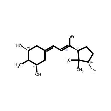 CCC/C(=C\C=C1C[C@@H](O)C(C)[C@H](O)C1)[C@H]1CC[C@H](C(C)C)C1(C)C